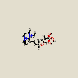 CCN(CC)C([SiH2]CC[Si](C)(C)O[Si](C)(C)C(C)[Si](OC)(OC)OC)N(CC)CC